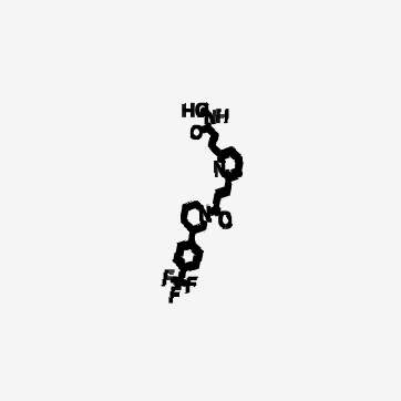 O=C(/C=C/c1cccc(/C=C/C(=O)N2CCCC(c3ccc(C(F)(F)F)cc3)C2)n1)NO